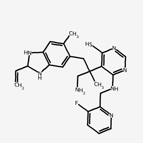 C=CC1Nc2cc(C)c(CC(C)(CN)c3c(S)ncnc3NCc3ncccc3F)cc2N1